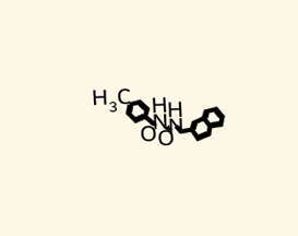 Cc1ccc(C(=O)NC(=O)NCc2ccc3ccccc3c2)cc1